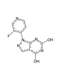 Oc1nc(O)c2cnn(-c3ccncc3F)c2n1